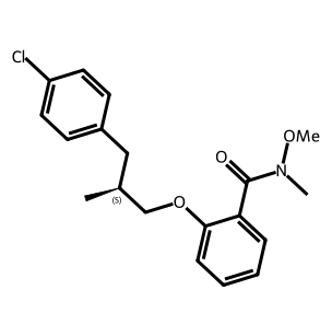 CON(C)C(=O)c1ccccc1OC[C@@H](C)Cc1ccc(Cl)cc1